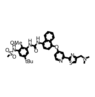 COc1c(NC(=O)Nc2ccc(Oc3ccnc(-c4nc(CN(C)C)cs4)c3)c3ccccc23)cc(C(C)(C)C)cc1NS(C)(=O)=O